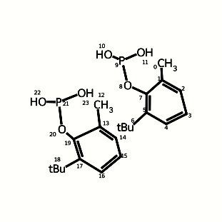 Cc1cccc(C(C)(C)C)c1OP(O)O.Cc1cccc(C(C)(C)C)c1OP(O)O